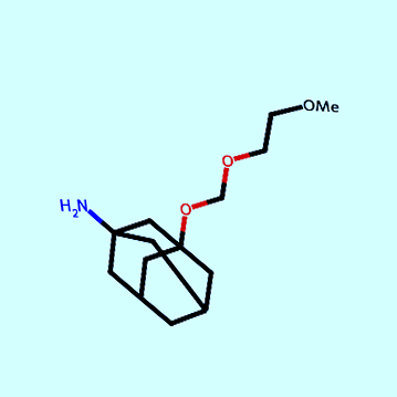 COCCOCOC12CC3CC(CC(N)(C3)C1)C2